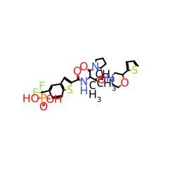 CC(C)(C)C(NC(=O)c1cc2cc(C(F)(F)P(=O)(O)O)ccc2s1)C(=O)N1CCC[C@H]1C(=O)N1CCOC(c2cccs2)C1